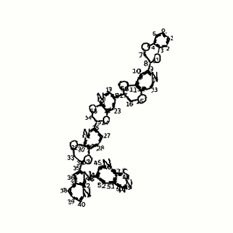 [c]1ccc2c(c1)OCC(c1cc3c(cn1)OCC(c1cnc4c(c1)OC(c1ccc5c(n1)OCC(c1cc6cccnc6n1-c1cnc6snnc6c1)O5)CO4)O3)O2